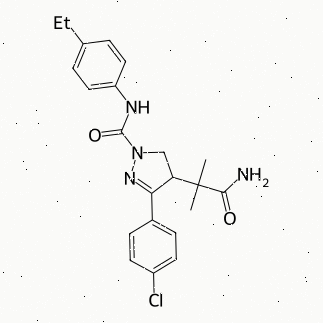 CCc1ccc(NC(=O)N2CC(C(C)(C)C(N)=O)C(c3ccc(Cl)cc3)=N2)cc1